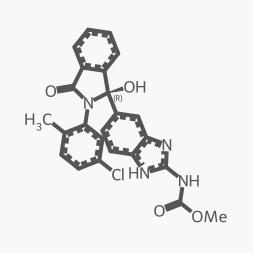 COC(=O)Nc1nc2cc([C@@]3(O)c4ccccc4C(=O)N3c3cc(Cl)ccc3C)ccc2[nH]1